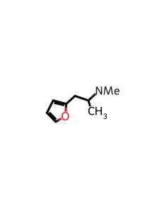 CNC(C)Cc1ccco1